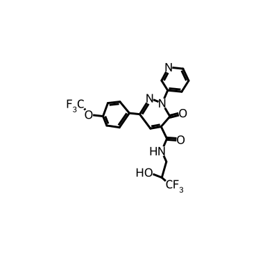 O=C(NCC(O)C(F)(F)F)c1cc(-c2ccc(OC(F)(F)F)cc2)nn(-c2cccnc2)c1=O